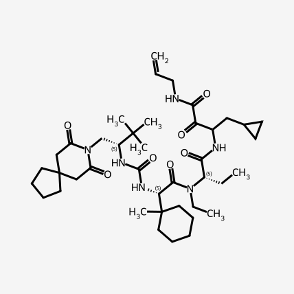 C=CCNC(=O)C(=O)C(CC1CC1)NC(=O)[C@H](CC)N(CC)C(=O)[C@@H](NC(=O)N[C@H](CN1C(=O)CC2(CCCC2)CC1=O)C(C)(C)C)C1(C)CCCCC1